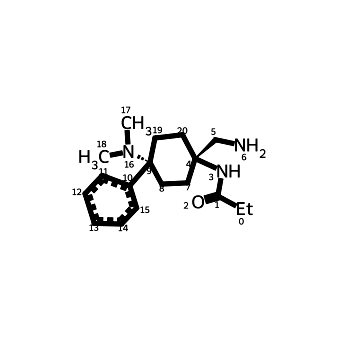 CCC(=O)N[C@]1(CN)CC[C@](c2ccccc2)(N(C)C)CC1